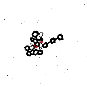 c1ccc(-c2ccc(-c3ccc(N(c4ccc5c(c4)C4(c6ccccc6Oc6ccccc64)c4ccccc4-5)c4cccc5cc6c(cc45)C4(c5ccccc5Sc5ccccc54)c4ccccc4-6)cc3)cc2)cc1